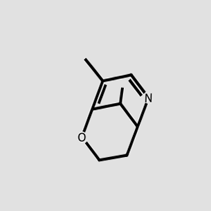 CC1=C2OCCC(N=C1)C2C